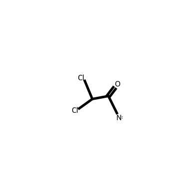 [N]C(=O)C(Cl)Cl